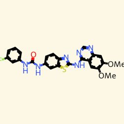 COc1cc2ncnc(Nc3nc4ccc(NC(=O)Nc5cccc(F)c5)cc4s3)c2cc1OC